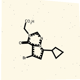 O=C(O)Cn1cnn2c(C3CCC3)cc(Br)c2c1=O